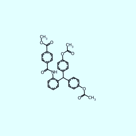 COC(=O)c1ccc(C(=O)Nc2ccccc2C(c2ccc(OC(C)=O)cc2)c2ccc(OC(C)=O)cc2)cc1